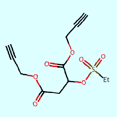 C#CCOC(=O)CC(OS(=O)(=O)CC)C(=O)OCC#C